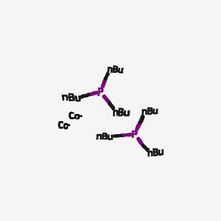 CCCCP(CCCC)CCCC.CCCCP(CCCC)CCCC.[Co].[Co]